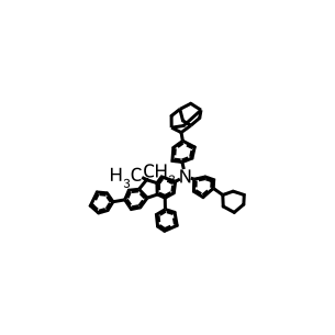 CC1(C)c2cc(-c3ccccc3)ccc2-c2c(-c3ccccc3)cc(N(c3ccc(C4CCCCC4)cc3)c3ccc(C4C5CC6CC(C5)CC4C6)cc3)cc21